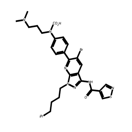 CC(C)CCCCn1nc(NC(=O)c2cnsc2)c2cc(Br)c(-c3ccc(N(CCCN(C)C)C(=O)O)cc3)nc21